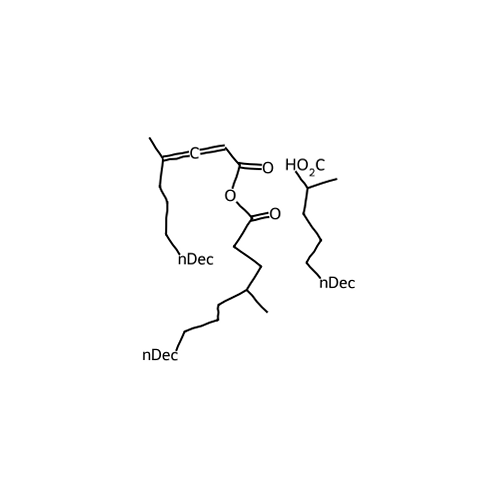 CCCCCCCCCCCCCC(C)=C=CC(=O)OC(=O)CCC(C)CCCCCCCCCCCCC.CCCCCCCCCCCCCC(C)C(=O)O